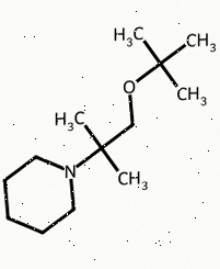 CC(C)(C)OCC(C)(C)N1CCCCC1